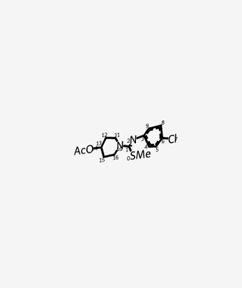 CS/C(=N\c1ccc(Cl)cc1)N1CCC(OC(C)=O)CC1